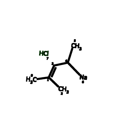 CC(C)=C[CH](C)[Na].Cl